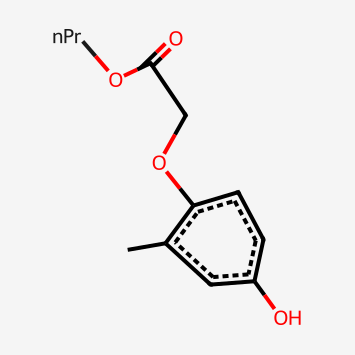 CCCOC(=O)COc1ccc(O)cc1C